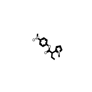 CCC(C(=O)Oc1ccc([S+](C)[O-])cc1)c1cccn1C